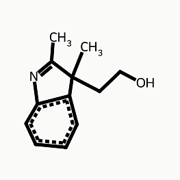 CC1=Nc2ccccc2C1(C)CCO